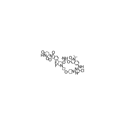 CNC(=O)COc1cc2cc(Nc3nc(N4CCC(O[C@H]5C[C@H](N6CCC(c7ccc8c(c7)C(=O)N(C7CCC(=O)NC7=O)C8=O)C(F)(F)C6)C5)CC4)ncc3Cl)ccc2n(C(C)C)c1=O